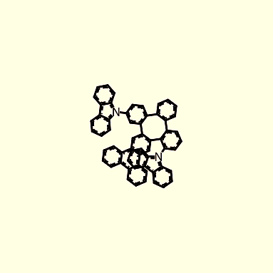 c1ccc2c(c1)-c1ccc(-n3c4ccccc4c4ccccc43)cc1-c1cc3c4ccccc4c4ccccc4c3cc1-c1c-2cccc1-n1c2ccccc2c2ccccc21